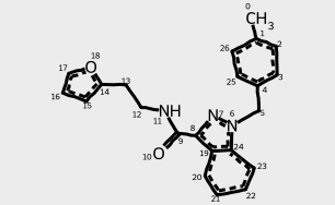 Cc1ccc(Cn2nc(C(=O)NCCc3ccco3)c3ccccc32)cc1